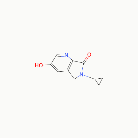 O=C1c2ncc(O)cc2CN1C1CC1